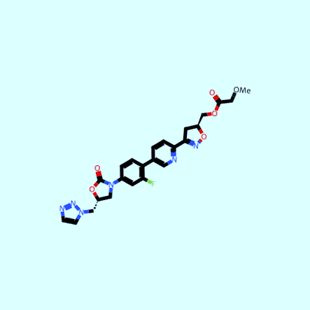 COCC(=O)OC[C@@H]1CC(c2ccc(-c3ccc(N4C[C@H](Cn5ccnn5)OC4=O)cc3F)cn2)=NO1